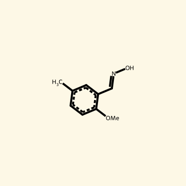 COc1ccc(C)cc1/C=N/O